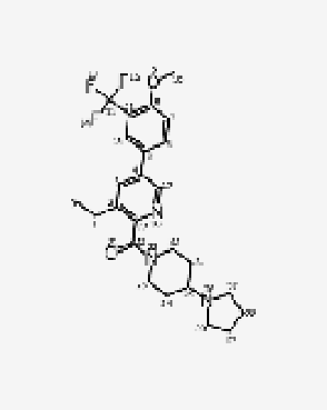 CCc1cc(-c2ccc(OC)c(C(F)(F)F)c2)cnc1C(=O)N1CCC(N2CCCC2)CC1